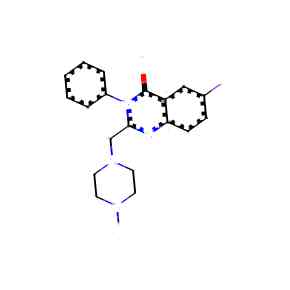 CCN1CCN(Cc2nc3ccc(I)cc3c(=O)n2-c2ccccc2)CC1